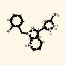 Nc1nc(-c2nn(Cc3ccccc3F)c3ncccc23)n[nH]1